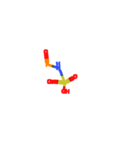 O=PNS(=O)(=O)O